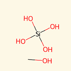 CO.O[Si](O)(O)O